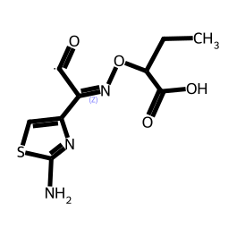 CCC(O/N=C(\[C]=O)c1csc(N)n1)C(=O)O